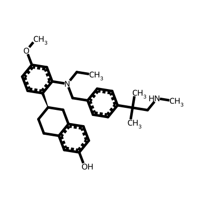 CCN(Cc1ccc(C(C)(C)CNC)cc1)c1cc(OC)ccc1[C@@H]1CCc2cc(O)ccc2C1